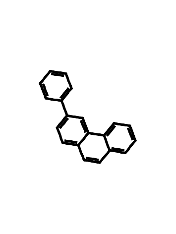 c1ccc(-c2ccc3ccc4ccccc4c3c2)cc1